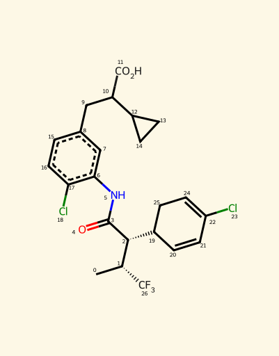 C[C@H]([C@H](C(=O)Nc1cc(CC(C(=O)O)C2CC2)ccc1Cl)C1C=CC(Cl)=CC1)C(F)(F)F